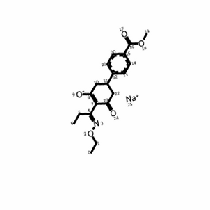 CCON=C(CC)C1=C([O-])CC(c2ccc(C(=O)OC)cc2)CC1=O.[Na+]